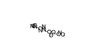 COc1ccc(COc2ccc(Cn3cnc4cc(N5CCN6CCC5CC6)cnc43)cc2OC)cn1